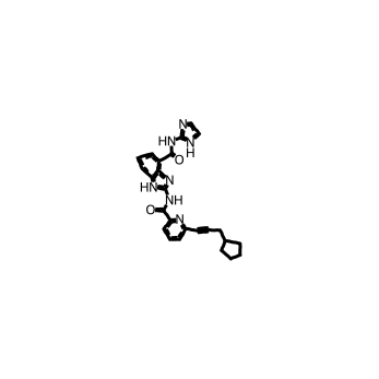 O=C(Nc1nc2c(C(=O)Nc3ncc[nH]3)cccc2[nH]1)c1cccc(C#CCC2CCCC2)n1